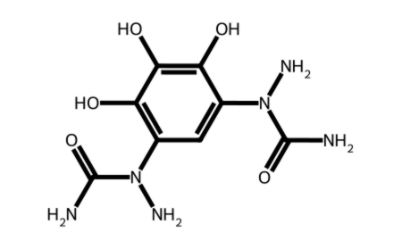 NC(=O)N(N)c1cc(N(N)C(N)=O)c(O)c(O)c1O